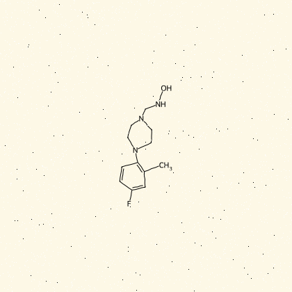 Cc1cc(F)ccc1N1CCN(CNO)CC1